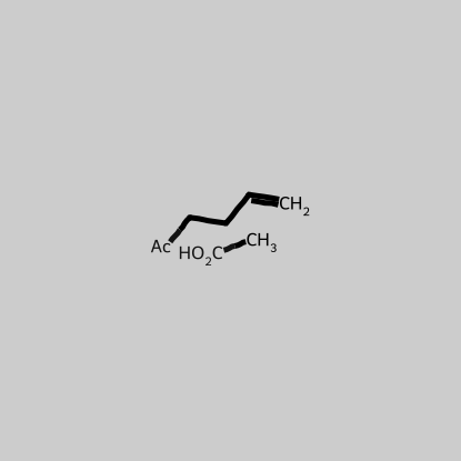 C=CCCC(C)=O.CC(=O)O